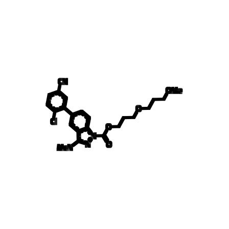 CNc1nn(C(=O)OCCCOCCCOC)c2ccc(-c3cc(C#N)ccc3Cl)cc12